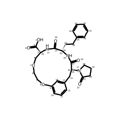 O=C(O)[C@@H]1COCCOc2cccc(c2)C[C@H](N2CCCC2=O)C(=O)N[C@@H](CCc2ccccc2)C(=O)N1